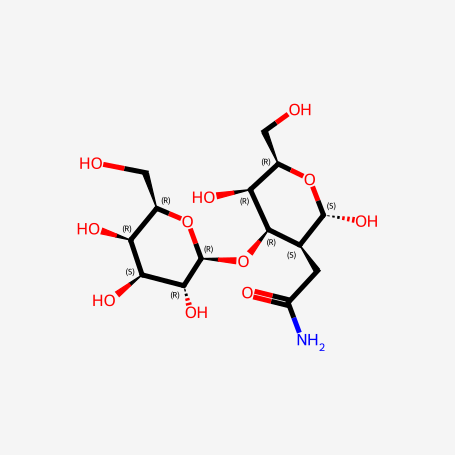 NC(=O)C[C@H]1[C@@H](O[C@@H]2O[C@H](CO)[C@H](O)[C@H](O)[C@H]2O)[C@@H](O)[C@@H](CO)O[C@@H]1O